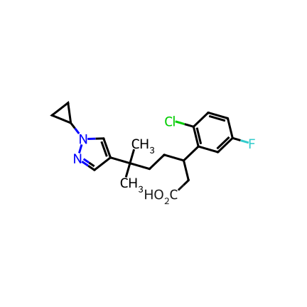 CC(C)(CCC(CC(=O)O)c1cc(F)ccc1Cl)c1cnn(C2CC2)c1